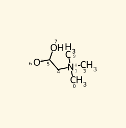 C[N+](C)(C)CC([O-])O